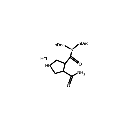 CCCCCCCCCCN(CCCCCCCCCC)C(=O)C1CNCC1C(N)=O.Cl